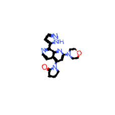 O=C1CCCN1c1cc(N2CCOCC2)nc2c(-c3ccn[nH]3)nccc12